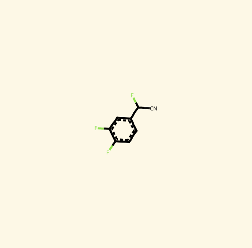 N#CC(F)c1ccc(F)c(F)c1